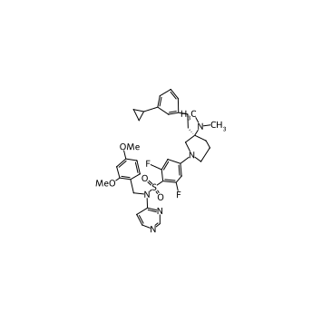 COc1ccc(CN(c2ccncn2)S(=O)(=O)c2c(F)cc(N3CCC[C@](CCc4cccc(C5CC5)c4)(N(C)C)C3)cc2F)c(OC)c1